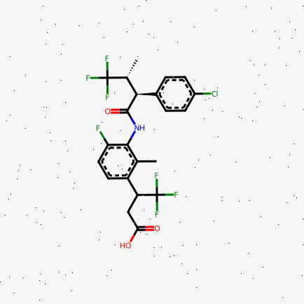 Cc1c(C(CC(=O)O)C(F)(F)F)ccc(F)c1NC(=O)[C@H](c1ccc(Cl)cc1)[C@@H](C)C(F)(F)F